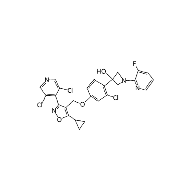 OC1(c2ccc(OCc3c(-c4c(Cl)cncc4Cl)noc3C3CC3)cc2Cl)CN(c2ncccc2F)C1